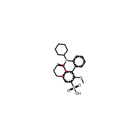 COc1ccc(S(=O)(=O)O)c(OC)c1-c1ccccc1P(C1CCCCC1)C1CCCCC1